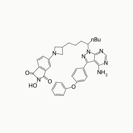 CCCCC(CCCC1CN(c2ccc3c(c2)C(=O)N(O)C3=O)C1)n1nc(-c2ccc(Oc3ccccc3)cc2)c2c(N)ncnc21